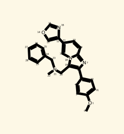 COc1ccc(-c2nc3ccc(-c4cocn4)cn3c2CN(C)Cc2ccccc2)cc1